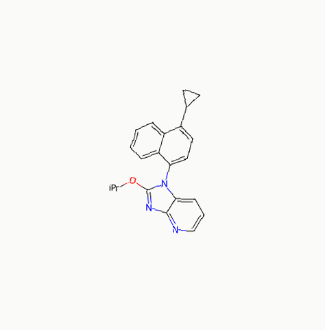 CC(C)Oc1nc2ncccc2n1-c1ccc(C2CC2)c2ccccc12